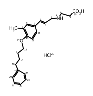 Cc1cc(C=CCNCCC(=O)O)ccc1OCCCCc1ccccc1.Cl